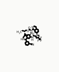 CCCCOC(=O)Nc1nccc2ccc(-n3nc(C(F)(F)F)cc3C(=O)Nc3cc(C(NCC4CC4)c4cccc(C#N)c4)ccc3F)cc12